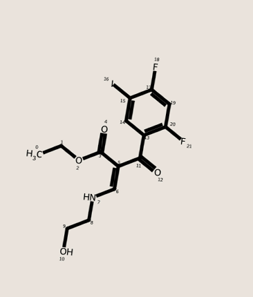 CCOC(=O)C(=CNCCO)C(=O)c1cc(I)c(F)cc1F